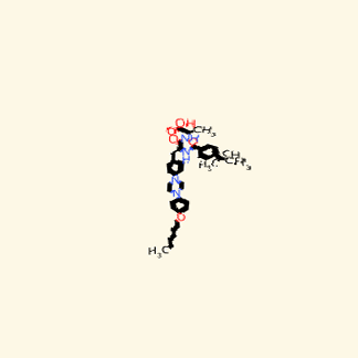 CCCCCCCOc1ccc(N2CCN(c3ccc(C[C@H](NC(=O)c4ccc(C(C)(C)C)cc4)C(=O)N[C@H](C)C(=O)O)cc3)CC2)cc1